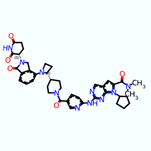 CN(C)C(=O)c1cc2cnc(Nc3ccc(C(=O)N4CCC([C@H]5CCN5c5cccc6c5CN([C@H]5CCC(=O)NC5=O)C6=O)CC4)cn3)nc2n1C1CCCC1